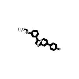 CCNc1cccc(-c2cnc3cc(-c4ccc(F)cc4)ccn23)c1